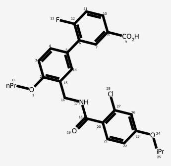 CCCOc1ccc(-c2cc(C(=O)O)ccc2F)cc1CNC(=O)c1ccc(OC(C)C)cc1Cl